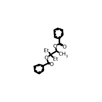 CCC(CC)(OC(=O)c1ccccc1)C(C)OC(=O)c1ccccc1